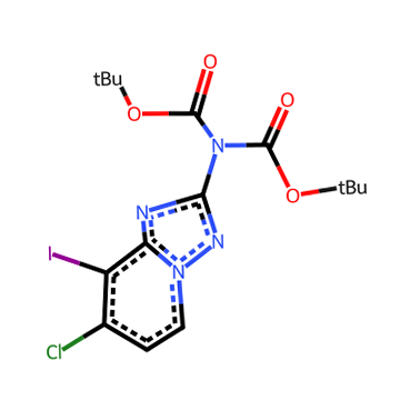 CC(C)(C)OC(=O)N(C(=O)OC(C)(C)C)c1nc2c(I)c(Cl)ccn2n1